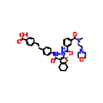 CN(CCN1CCOCC1)C(=O)c1cccc(C(=O)Nc2sc3c(c2C(=O)Nc2ccc(CCc4ccc(C(=O)O)cc4)cc2)CCCC3)c1